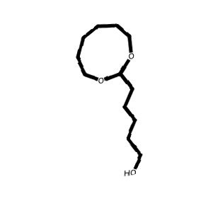 OCCCCCC1OCCCCCCO1